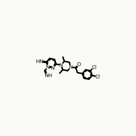 CC1CN(C(=O)Cc2ccc(Cl)c(Cl)c2)CC(C)N1c1ccc(=N)n(C=N)n1